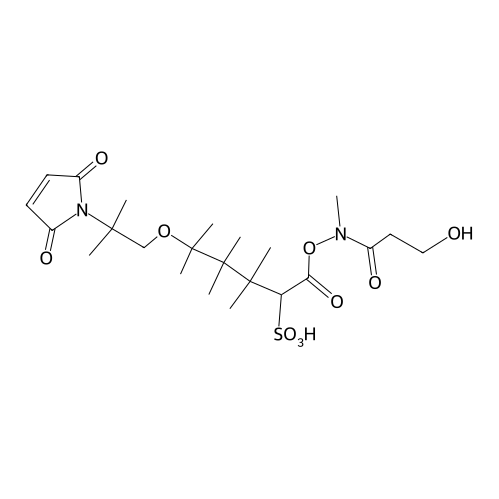 CN(OC(=O)C(C(C)(C)C(C)(C)C(C)(C)OCC(C)(C)N1C(=O)C=CC1=O)S(=O)(=O)O)C(=O)CCO